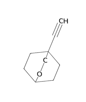 C#CC12CCC(CC1)OC2